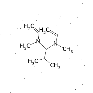 C=CN(C)C(C(C)C)N(C)C=C